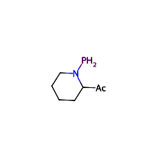 CC(=O)C1CCCCN1P